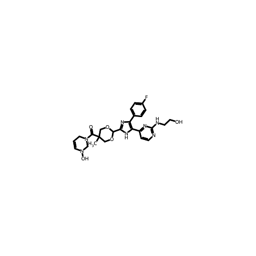 CC1(C(=O)N2CC=CN(O)C2)COC(c2nc(-c3ccc(F)cc3)c(-c3ccnc(NCCO)n3)[nH]2)OC1